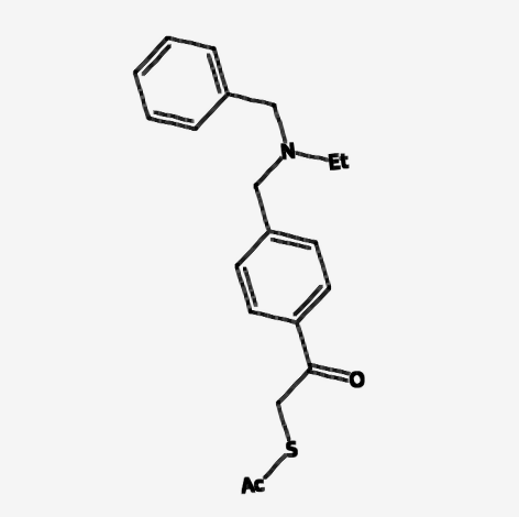 CCN(Cc1ccccc1)Cc1ccc(C(=O)CSC(C)=O)cc1